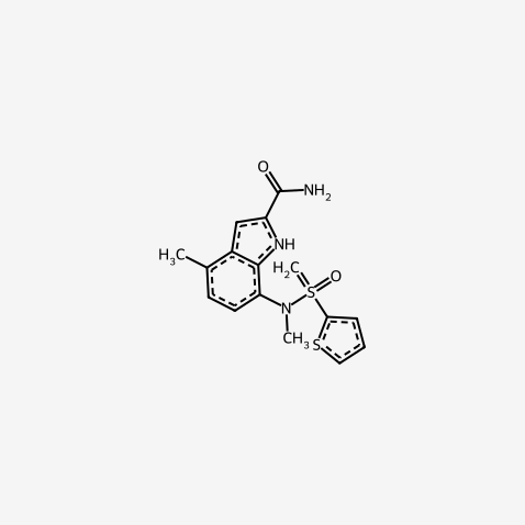 C=S(=O)(c1cccs1)N(C)c1ccc(C)c2cc(C(N)=O)[nH]c12